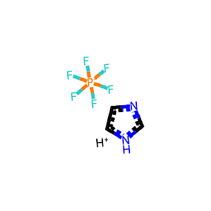 F[P-](F)(F)(F)(F)F.[H+].c1c[nH]cn1